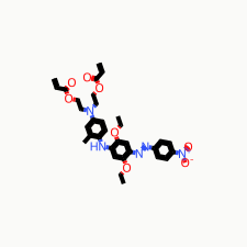 C=CC(=O)OCCN(CCOC(=O)C=C)c1ccc(Nc2cc(OCC)c(/N=N/c3ccc([N+](=O)[O-])cc3)cc2OCC)c(C)c1